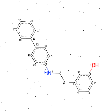 Oc1cccc(CCNc2ccc(-c3ccccc3)cc2)c1